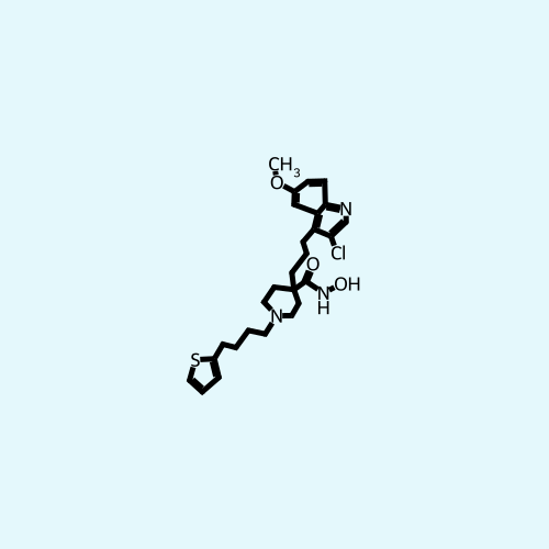 COc1ccc2ncc(Cl)c(CCCC3(C(=O)NO)CCN(CCCCc4cccs4)CC3)c2c1